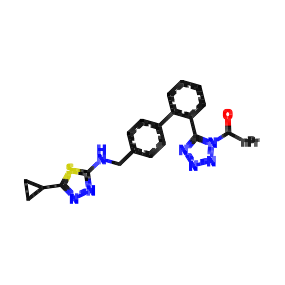 CCCC(=O)n1nnnc1-c1ccccc1-c1ccc(CNc2nnc(C3CC3)s2)cc1